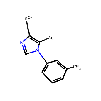 CCCc1ncn(-c2cccc(C(F)(F)F)c2)c1C(C)=O